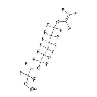 CCCCOC(F)(F)C(F)OC(F)(F)C(F)(F)C(F)(F)C(F)(F)C(F)(F)C(F)(F)OC(F)=C(F)F